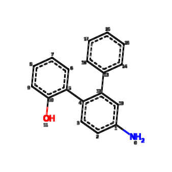 Nc1ccc(-c2ccccc2O)c(-c2ccccc2)c1